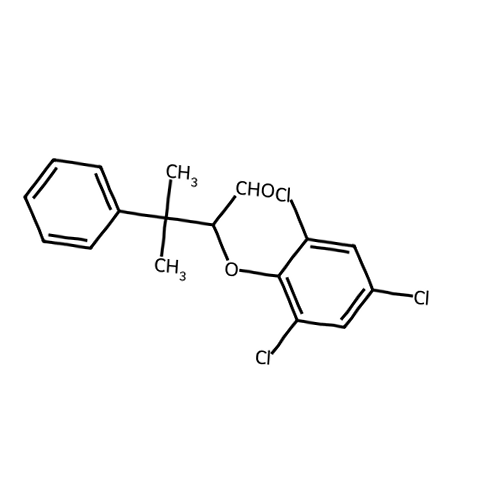 CC(C)(c1ccccc1)C(C=O)Oc1c(Cl)cc(Cl)cc1Cl